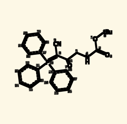 CC(C)(C)OC(=O)NCC(=O)C(C#N)=P(c1ccccc1)(c1ccccc1)c1ccccc1